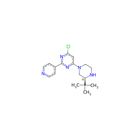 CC(C)(C)[C@H]1CN(c2cc(Cl)nc(-c3ccncc3)n2)CCN1